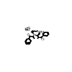 CC(C(=O)c1ccccc1)C1CNCCN1C(C)C(=O)c1ccccc1.Cl.Cl